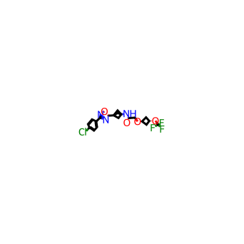 O=C(CO[C@H]1C[C@@H](OC(F)(F)F)C1)NC12CC(c3nc(-c4ccc(Cl)cc4)no3)(C1)C2